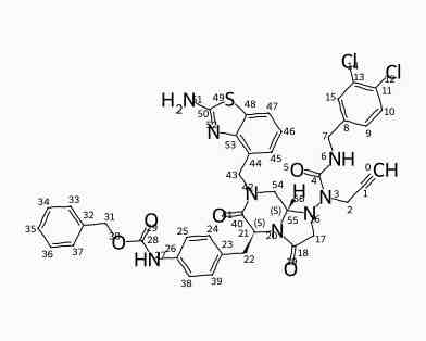 C#CCN(C(=O)NCc1ccc(Cl)c(Cl)c1)N1CC(=O)N2[C@@H](Cc3ccc(NC(=O)OCc4ccccc4)cc3)C(=O)N(Cc3cccc4sc(N)nc34)C[C@@H]21